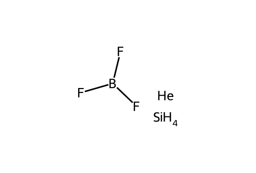 FB(F)F.[He].[SiH4]